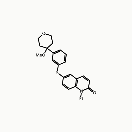 CCn1c(=O)ccc2cc(Sc3cccc(C4(OC)CCOCC4)c3)ccc21